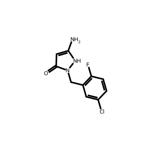 Nc1cc(=O)n(Cc2cc(Cl)ccc2F)[nH]1